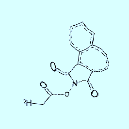 [2H]CC(=O)ON1C(=O)c2ccc3ccccc3c2C1=O